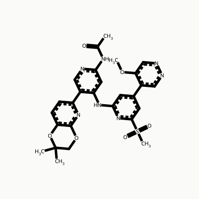 COc1cnncc1-c1cc(Nc2cc(NC(C)=O)ncc2-c2ccc3c(n2)OCC(C)(C)O3)nc(S(C)(=O)=O)c1